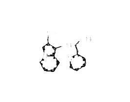 CCOC(=O)c1cn2ccccc2c1C#N.N#CCc1ccccn1